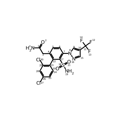 NC(=O)Cc1ccc(-n2cc(C(F)(F)F)cn2)c(S(N)(=O)=O)c1-c1ccc(Cl)cc1Cl